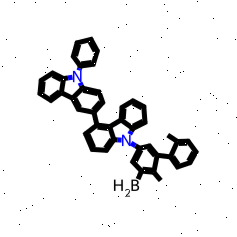 Bc1cc(-n2c3ccccc3c3c(-c4ccc5c(c4)c4ccccc4n5-c4ccccc4)cccc32)cc(-c2ccccc2C)c1C